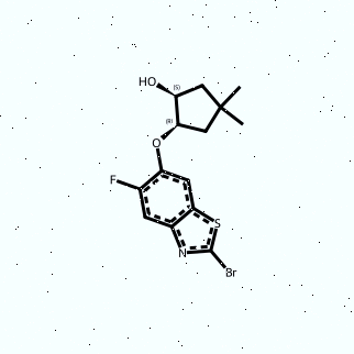 CC1(C)C[C@H](O)[C@H](Oc2cc3sc(Br)nc3cc2F)C1